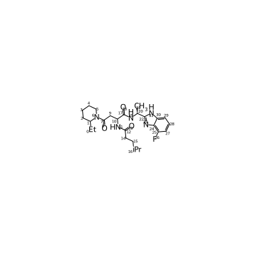 CCC1CCCCN1C(=O)CC(NC(=O)CCC(C)C)C(=O)N[C@@H](C)c1nc2c(F)cccc2[nH]1